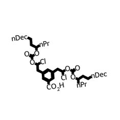 CCCCCCCCCCCCC(CCC)OC(=O)OC(Cl)Cc1cc(CC(Cl)OC(=O)OC(CCC)CCCCCCCCCCCC)cc(C(=O)O)c1